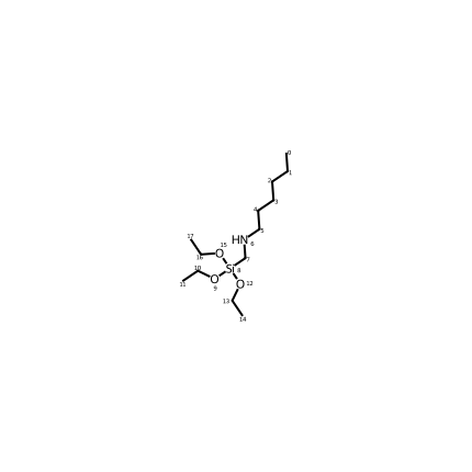 CCCCCCNC[Si](OCC)(OCC)OCC